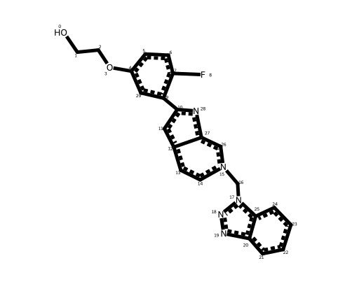 OCCOc1ccc(F)c(-c2cc3ccn(Cn4nnc5ccccc54)cc-3n2)c1